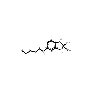 CCCCCNc1ccc2c(c1)OC(F)(F)O2